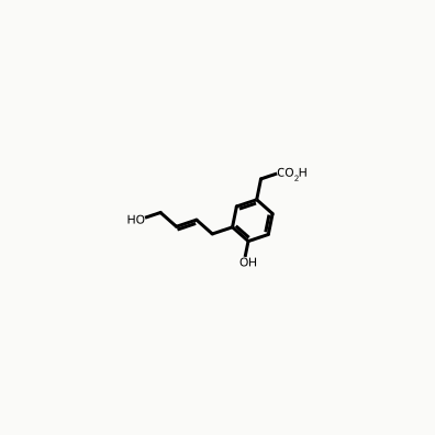 O=C(O)Cc1ccc(O)c(CC=CCO)c1